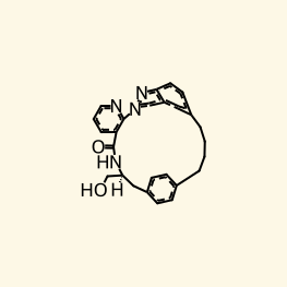 O=C1N[C@H](CO)Cc2ccc(cc2)CCCCc2ccc3nn(cc3c2)-c2ncccc21